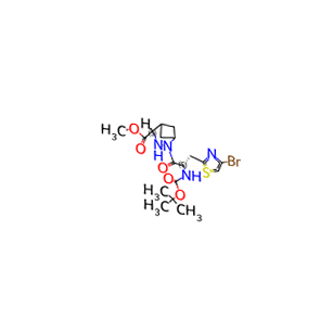 COC(=O)[C@H]1NN(C(=O)[C@H](Cc2nc(Br)cs2)NC(=O)OC(C)(C)C)C2CC1C2